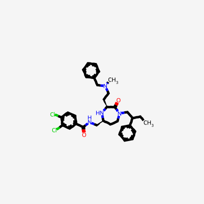 CCC(CN1CC[C@@H](CNC(=O)c2ccc(Cl)c(Cl)c2)N[C@@H](CCN(C)Cc2ccccc2)C1=O)c1ccccc1